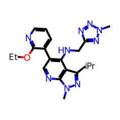 CCOc1ncccc1-c1cnc2c(c(C(C)C)nn2C)c1NCc1nnn(C)n1